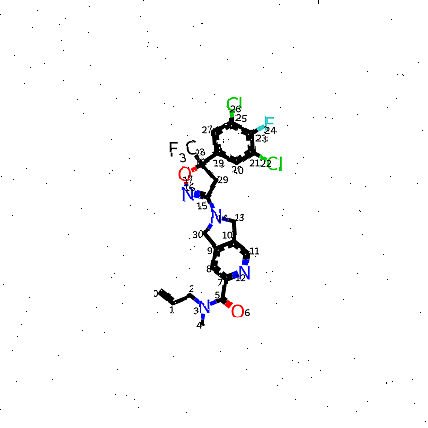 C=CCN(C)C(=O)c1cc2c(cn1)CN(C1=NOC(c3cc(Cl)c(F)c(Cl)c3)(C(F)(F)F)C1)C2